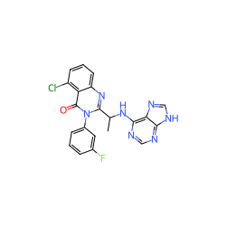 CC(Nc1ncnc2[nH]cnc12)c1nc2cccc(Cl)c2c(=O)n1-c1cccc(F)c1